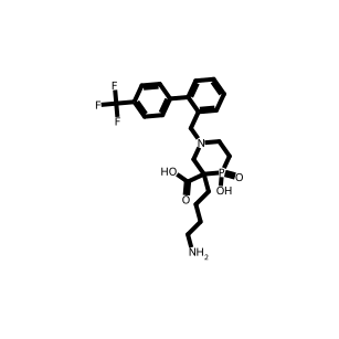 NCCCCC1(C(=O)O)CN(Cc2ccccc2-c2ccc(C(F)(F)F)cc2)CCP1(=O)O